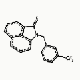 FC(F)(F)c1cccc(CN2C(=S)c3cccc4cccc2c34)c1